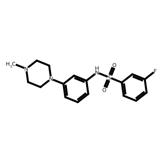 CN1CCN(c2cccc(NS(=O)(=O)c3cccc(F)c3)c2)CC1